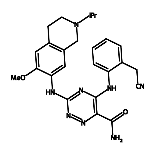 COc1cc2c(cc1Nc1nnc(C(N)=O)c(Nc3ccccc3CC#N)n1)CN(C(C)C)CC2